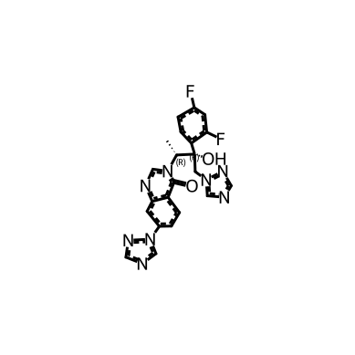 C[C@@H](n1cnc2cc(-n3cncn3)ccc2c1=O)[C@](O)(Cn1cncn1)c1ccc(F)cc1F